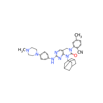 Cc1ccc(C#N)c(N2Cc3cnc(Nc4ccc(N5CCN(C)CC5)cc4)nc3N(C34CC5CC(CC(C5)C3)C4)C2=O)c1